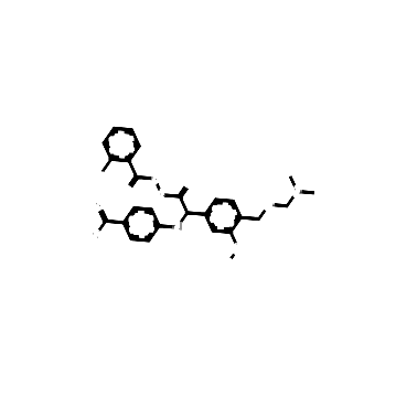 CCOc1cc(C(Nc2ccc(C(=N)N)cc2)C(=O)NNC(=O)c2ccccc2Cl)ccc1COCN(C)C